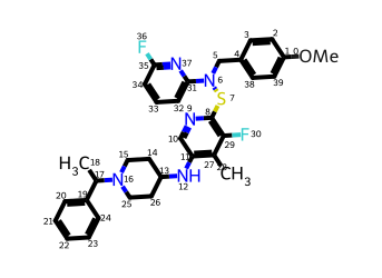 COc1ccc(CN(Sc2ncc(NC3CCN(C(C)c4ccccc4)CC3)c(C)c2F)c2cccc(F)n2)cc1